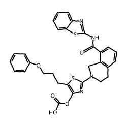 O=C(O)Oc1nc(N2CCc3cccc(C(=O)Nc4nc5ccccc5s4)c3C2)sc1CCCOc1ccccc1